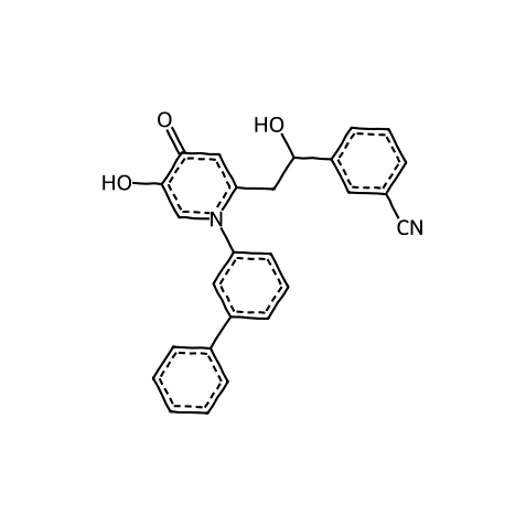 N#Cc1cccc(C(O)Cc2cc(=O)c(O)cn2-c2cccc(-c3ccccc3)c2)c1